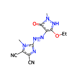 CCOc1[nH]n(C)c(=O)c1/N=N/c1nc(C#N)c(C#N)n1C